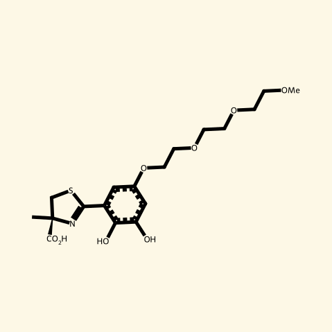 COCCOCCOCCOc1cc(O)c(O)c(C2=N[C@@](C)(C(=O)O)CS2)c1